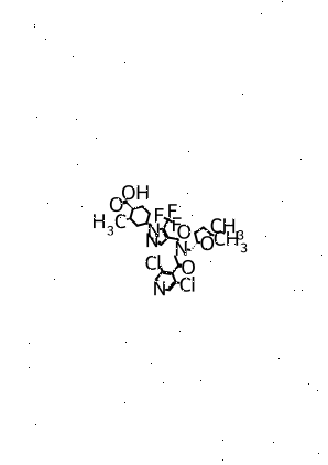 C[C@@H]1C[C@@H](n2ncc(C(=O)N(CC(=O)c3c(Cl)cncc3Cl)C[C@@H]3CCC(C)(C)O3)c2C(F)(F)F)CC[C@@H]1C(=O)O